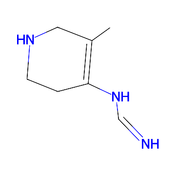 CC1=C(NC=N)CCNC1